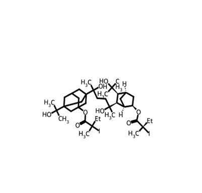 CCC(C)(I)C(=O)OC12CC3CC(C(C)(C)O)(C1)CC(C(C)(O)CCC(C)(O)[C@@H]1[C@H]4C[C@H](C[C@H]4OC(=O)[C@@](C)(I)CC)[C@@H]1C(C)(C)O)(C3)C2